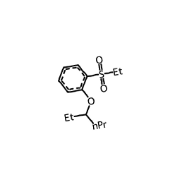 CCCC(CC)Oc1ccccc1S(=O)(=O)CC